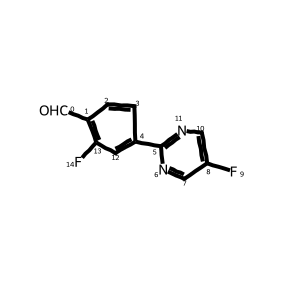 O=Cc1ccc(-c2ncc(F)cn2)cc1F